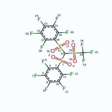 O=S(=O)(c1c(F)c(F)c(F)c(F)c1F)C(S(=O)(=O)c1c(F)c(F)c(F)c(F)c1F)S(=O)(=O)C(F)(F)F